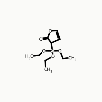 CCO[Si](OCC)(OCC)C1C=COC1=O